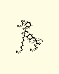 CCCCCCCC(NC(=O)Nc1ccccc1C(C)C)c1ccc(OC(C)(C)C(=O)OCC)cc1